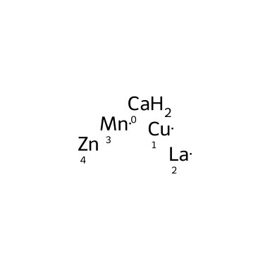 [CaH2].[Cu].[La].[Mn].[Zn]